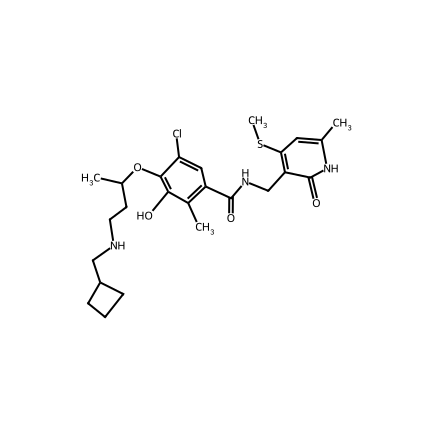 CSc1cc(C)[nH]c(=O)c1CNC(=O)c1cc(Cl)c(OC(C)CCNCC2CCC2)c(O)c1C